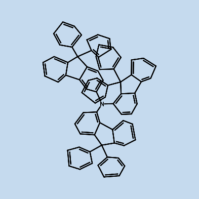 c1ccc(C2(c3ccccc3)c3ccccc3-c3cc(N(c4cccc5c4-c4ccccc4C5(c4ccccc4)c4ccccc4)c4cccc5c4C(c4ccccc4)(c4ccccc4)c4ccccc4-5)ccc32)cc1